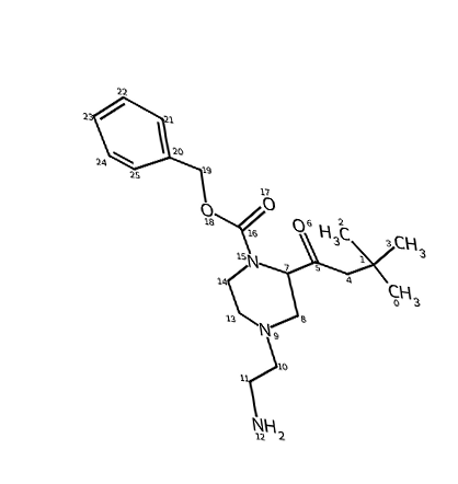 CC(C)(C)CC(=O)C1CN(CCN)CCN1C(=O)OCc1ccccc1